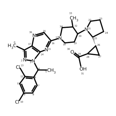 Cc1nn(C(C)c2ccc(Cl)cc2Cl)c2nc(N3CCC(N4CCCC4[C@@H]4CC4C(=O)O)C(C)C3)cnc12